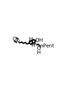 CCCCC[C@H](O)/C=C/[C@@H]1[C@H]2CC(CCCCCN3CCOCC3)=C[C@H]2C[C@H]1O